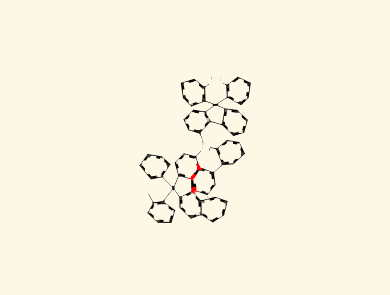 c1ccc(-c2ccccc2N(c2ccc3c(c2)-c2c(ccc4ccccc24)C32c3ccccc3Oc3ccccc32)c2cccc3c2-c2ccccc2C32c3ccccc3Oc3ccccc32)cc1